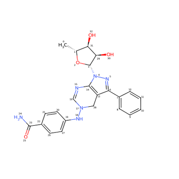 C[C@H]1O[C@@H](n2nc(-c3ccccc3)c3c2N=CN(Nc2ccc(C(N)=O)cc2)C3)[C@H](O)[C@@H]1O